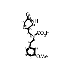 COc1cccc(CCN(CC2CNC(=O)CO2)C(=O)O)c1